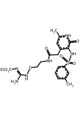 CCOC(=O)N=C(N)NOCCNC(=O)Cc1cc(C)[nH]c(=O)c1NS(=O)(=O)c1cccc(C)c1